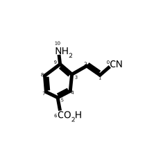 N#CC=Cc1cc(C(=O)O)ccc1N